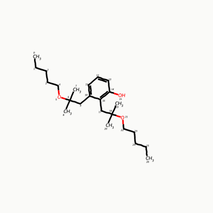 CCCCCOC(C)(C)Cc1cccc(O)c1CC(C)(C)OCCCCC